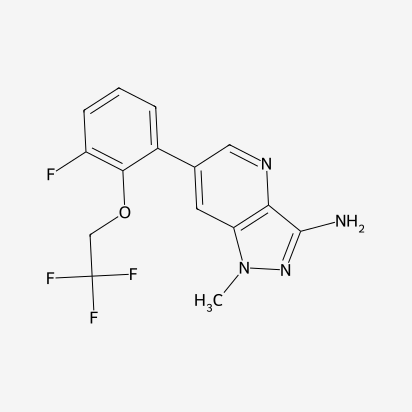 Cn1nc(N)c2ncc(-c3cccc(F)c3OCC(F)(F)F)cc21